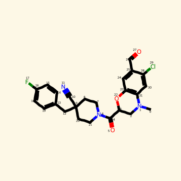 CN1CC(C(=O)N2CCC(C#N)(Cc3ccc(F)cc3)CC2)Oc2cc(C=O)c(Cl)cc21